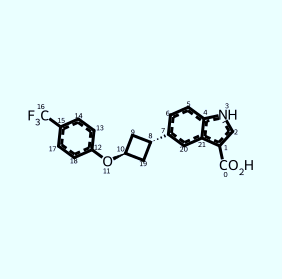 O=C(O)c1c[nH]c2ccc([C@H]3C[C@H](Oc4ccc(C(F)(F)F)cc4)C3)cc12